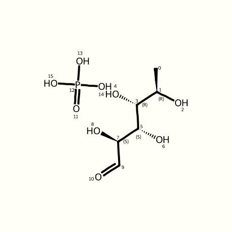 C[C@@H](O)[C@@H](O)[C@H](O)[C@H](O)C=O.O=P(O)(O)O